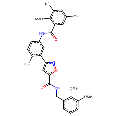 COc1cccc(CNC(=O)c2cc(-c3cc(NC(=O)c4cc(C(C)(C)C)cc(C#N)c4OC)ccc3C)no2)c1OC